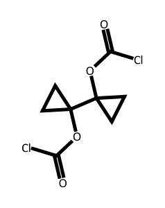 O=C(Cl)OC1(C2(OC(=O)Cl)CC2)CC1